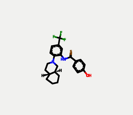 Oc1ccc(C(=S)Nc2cc(C(F)(F)F)ccc2N2CC[C@H]3CCCC[C@@H]3C2)cc1